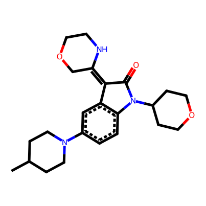 CC1CCN(c2ccc3c(c2)/C(=C2\COCCN2)C(=O)N3C2CCOCC2)CC1